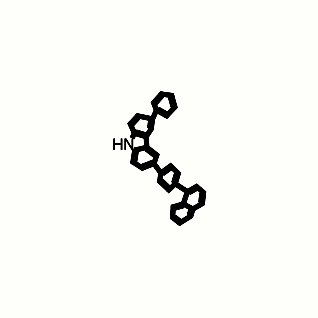 c1ccc(-c2ccc3[nH]c4ccc(-c5ccc(-c6cccc7ccccc67)cc5)cc4c3c2)cc1